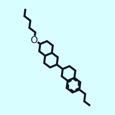 CCCCCOC1CCC2CC(C3CCc4cc(CCC)ccc4C3)CCC2C1